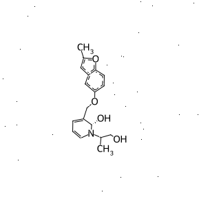 Cc1cc2cc(OCC3=CC=CN(C(C)CO)[C@H]3O)ccc2o1